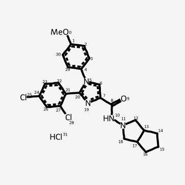 COc1ccc(-n2cc(C(=O)NN3CC4CCCC4C3)nc2-c2ccc(Cl)cc2Cl)cc1.Cl